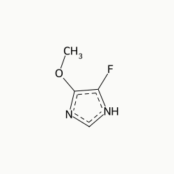 COc1nc[nH]c1F